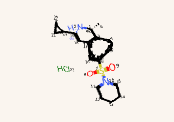 C[C@@H](N)c1ccc(S(=O)(=O)N2CCCCC2)cc1/C=C/C1CC1.Cl